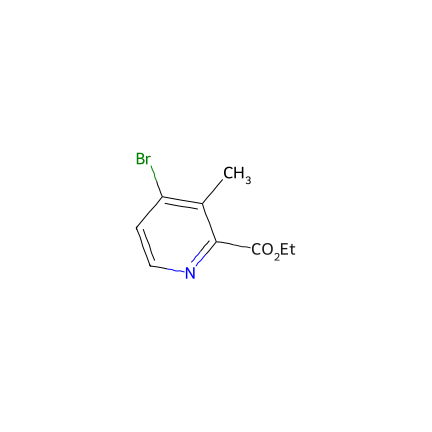 CCOC(=O)c1nccc(Br)c1C